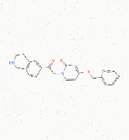 O=C(Cn1ccc(OCc2ccccc2)cc1=O)c1ccc2c(c1)CCNC2